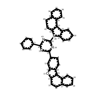 c1ccc(-c2nc(-c3ccc4c(c3)oc3ccc5ccccc5c34)nc(-n3c4ccccc4c4c5ccccc5ccc43)n2)cc1